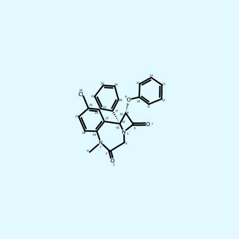 CN1C(=O)CN2C(=O)[C@@H](Oc3ccccc3)[C@]2(c2ccccc2)c2cc(Cl)ccc21